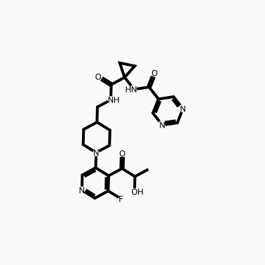 CC(O)C(=O)c1c(F)cncc1N1CCC(CNC(=O)C2(NC(=O)c3cncnc3)CC2)CC1